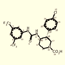 O=C(Nc1cc(C(F)(F)F)cc(C(F)(F)F)c1)N[C@@H]1CCN(C(=O)O)C[C@H]1c1ccc(Cl)cc1